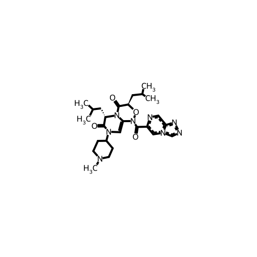 CC(C)C[C@H]1ON(C(=O)c2cn3cnnc3cn2)C2=CN(C3CCN(C)CC3)C(=O)[C@H](CC(C)C)N2C1=O